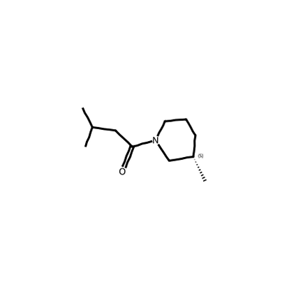 CC(C)CC(=O)N1CCC[C@H](C)C1